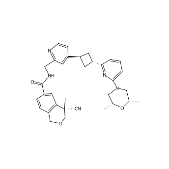 C[C@@H]1CN(c2cccc([C@H]3C[C@H](c4ccnc(CNC(=O)c5ccc6c(c5)[C@](C)(C#N)COC6)c4)C3)n2)C[C@H](C)O1